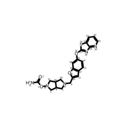 NC(=O)ON1CC2CN(Cc3cc4ccc(Oc5nc6ncccc6s5)cc4o3)CC2C1